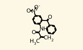 C=C(C)C(=O)Nc1ccc([N+](=O)[O-])cc1C(=O)c1ccccc1